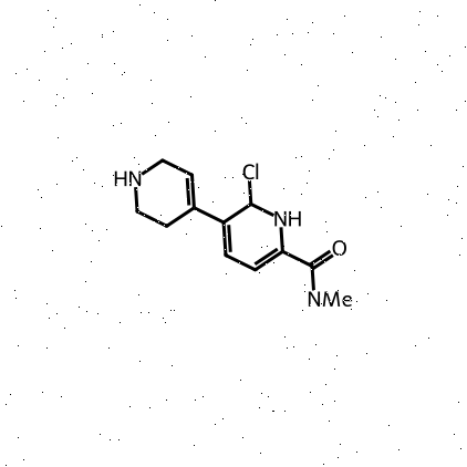 CNC(=O)C1=CC=C(C2=CCNCC2)C(Cl)N1